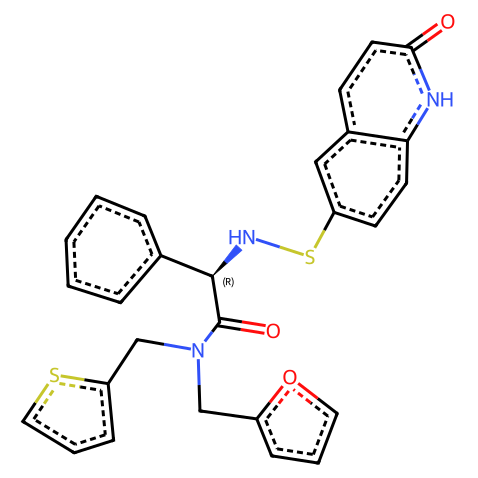 O=C([C@H](NSc1ccc2[nH]c(=O)ccc2c1)c1ccccc1)N(Cc1ccco1)Cc1cccs1